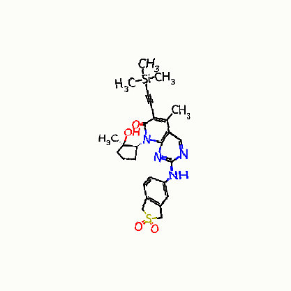 Cc1c(C#C[Si](C)(C)C)c(=O)n([C@@H]2CCC[C@@]2(C)O)c2nc(Nc3ccc4c(c3)CS(=O)(=O)C4)ncc12